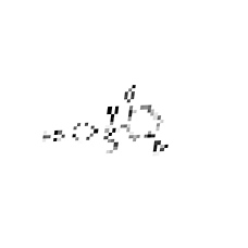 COc1ccc(Br)cc1S(=O)(=O)[C@H]1C[C@@H](O)C1